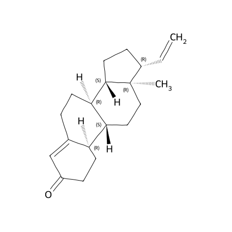 C=C[C@H]1CC[C@H]2[C@@H]3CCC4=CC(=O)CC[C@@H]4[C@H]3CC[C@]12C